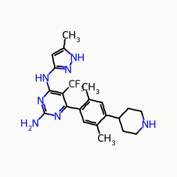 Cc1cc(Nc2nc(N)nc(-c3cc(C)c(C4CCNCC4)cc3C)c2C(F)(F)F)n[nH]1